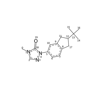 Cn1cnn(-c2ccc3c(c2)CC(C(C)(C)C)C3)c1=O